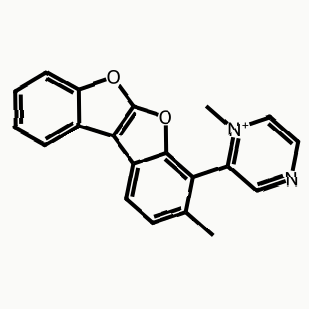 Cc1ccc2c(oc3oc4ccccc4c32)c1-c1cncc[n+]1C